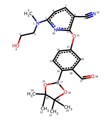 CN(CCO)c1ccc(C#N)c(Oc2ccc(B3OC(C)(C)C(C)(C)O3)c(C=O)c2)n1